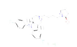 Cl.O=C1CCCN1CCCCN1CC[C@@H]2[C@@H](C1)c1cc(F)ccc1N2c1ccc(F)cc1